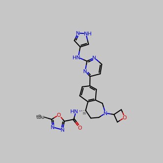 CC(C)(C)c1nnc(C(=O)N[C@H]2CCN(C3COC3)Cc3cc(-c4ccnc(Nc5cn[nH]c5)n4)ccc32)o1